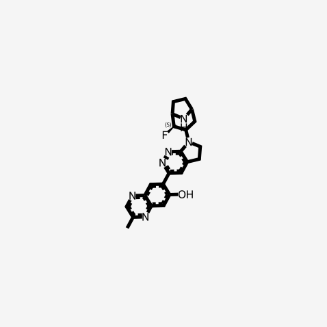 Cc1cnc2cc(-c3cc4c(nn3)N(C3CC5CCC(N5)[C@@H]3F)CC4)c(O)cc2n1